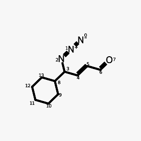 [N-]=[N+]=NC(C=CC=O)C1CCCCC1